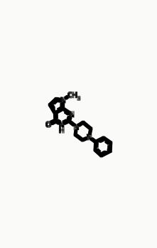 Cn1ccc2c(=O)[nH]c(N3CCN(c4ccccc4)CC3)nc21